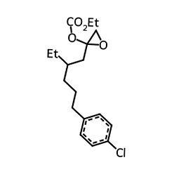 CCOC(=O)OC1(CC(CC)CCCc2ccc(Cl)cc2)CO1